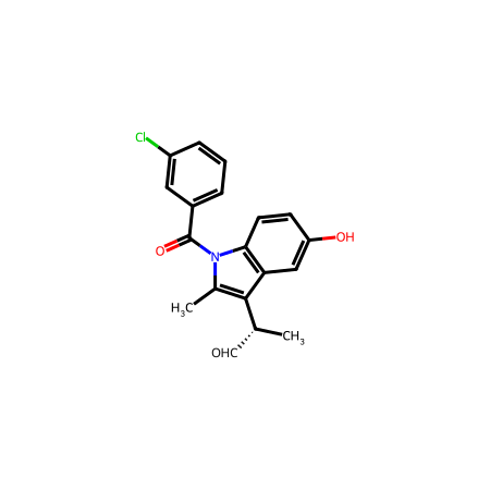 Cc1c([C@H](C)C=O)c2cc(O)ccc2n1C(=O)c1cccc(Cl)c1